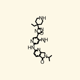 CCC1(c2noc(-c3cnc(Nc4ccc5c(n4)CN(C(C)C)C5=O)cc3NC)n2)CCNCC1